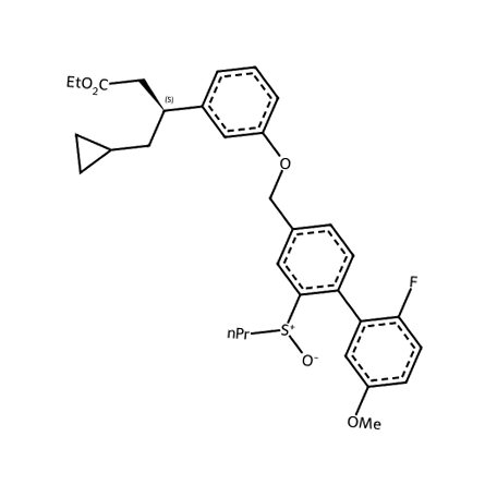 CCC[S+]([O-])c1cc(COc2cccc([C@H](CC(=O)OCC)CC3CC3)c2)ccc1-c1cc(OC)ccc1F